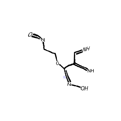 N=CC(=N)/C(=N\O)OCCN=O